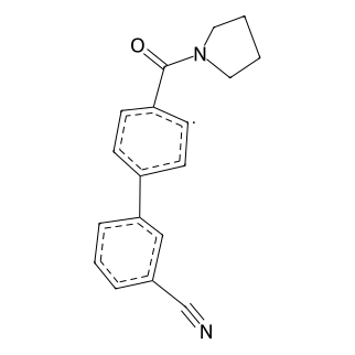 N#Cc1cccc(-c2c[c]c(C(=O)N3CCCC3)cc2)c1